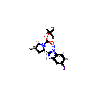 C[C@@H]1C[C@@H](c2nc3cc(I)ccc3[nH]2)N(C(=O)OC(C)(C)C)C1